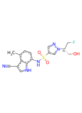 Cc1ccc(NS(=O)(=O)c2cnn([C@@H](CO)CF)c2)c2[nH]cc(C#N)c12